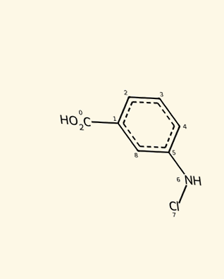 O=C(O)c1cccc(NCl)c1